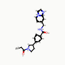 CC(C)CC(=O)N1CCC(c2ccc(C(=O)NCc3ccn4ccnc4c3)cc2)C1